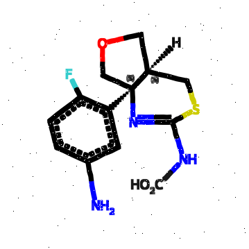 Nc1ccc(F)c([C@]23COC[C@H]2CSC(NC(=O)O)=N3)c1